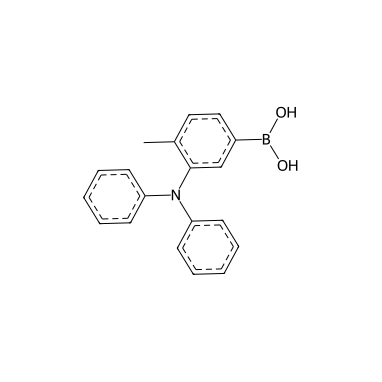 Cc1ccc(B(O)O)cc1N(c1ccccc1)c1ccccc1